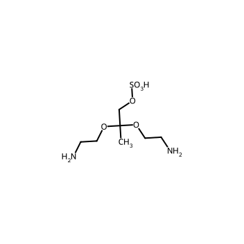 CC(COS(=O)(=O)O)(OCCN)OCCN